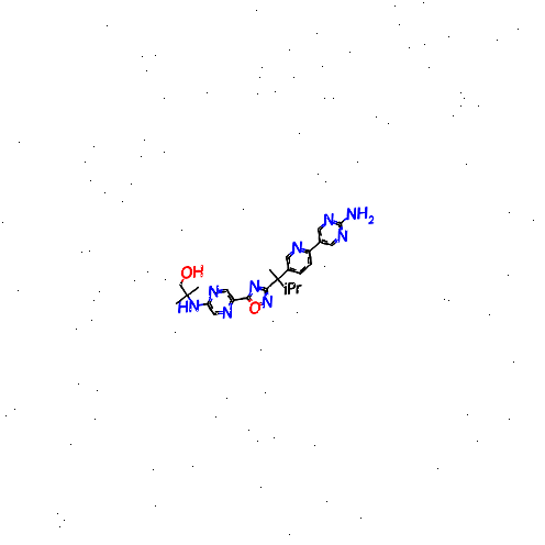 CC(C)C(C)(c1ccc(-c2cnc(N)nc2)nc1)c1noc(-c2cnc(NC(C)(C)CO)cn2)n1